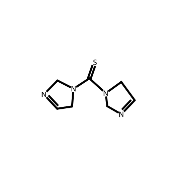 S=C(N1CC=NC1)N1CC=NC1